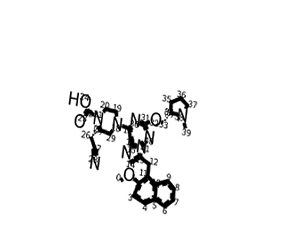 COc1ccc2ccccc2c1Cc1cnc2c(N3CCN(C(=O)O)[C@@H](CC#N)C3)nc(OC[C@@H]3CCCN3C)nn12